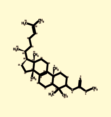 CSC(=S)OC1CC[C@]2(C)C3=C(CCC2C1(C)C)[C@]1(C)CC[C@H]([C@H](C)CCC=C(C)C)[C@@]1(C)CC3